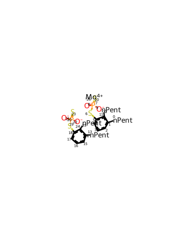 CCCCCc1cccc(SP([O-])([O-])=S)c1CCCCC.CCCCCc1cccc(SP([O-])([O-])=S)c1CCCCC.[Mo+4]